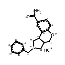 Cl.NC(=O)c1ccc2c(c1)C1CN(Cc3ccccc3)CC1CO2